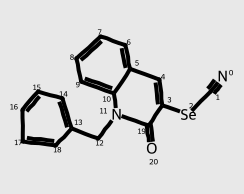 N#C[Se]c1cc2ccccc2n(Cc2ccccc2)c1=O